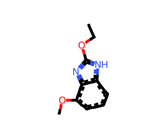 CCOc1nc2c(OC)cccc2[nH]1